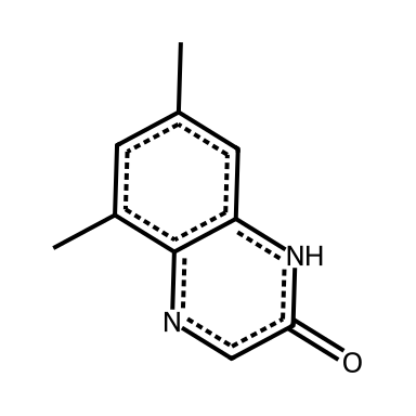 Cc1cc(C)c2ncc(=O)[nH]c2c1